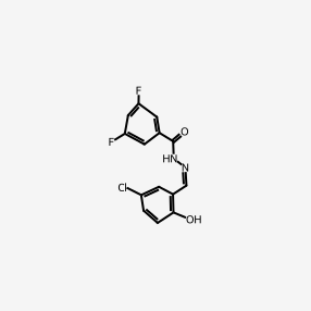 O=C(N/N=C\c1cc(Cl)ccc1O)c1cc(F)cc(F)c1